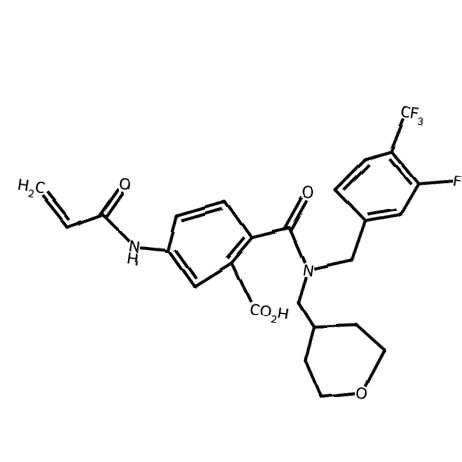 C=CC(=O)Nc1ccc(C(=O)N(Cc2ccc(C(F)(F)F)c(F)c2)CC2CCOCC2)c(C(=O)O)c1